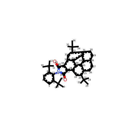 CC(C)(C)c1cccc(C(C)(C)C)c1-n1c(=O)c2c3cc(C(C)(C)C)c4ccc5ccc6c(C(C)(C)C)cc(c2c1=O)c1c6c5c4c31